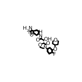 Nc1noc2cc(NC(=O)C(O)[C@H]3OCCN(c4ccc(F)c(OC5CCOCC5)c4)C3=O)ccc12